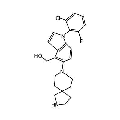 OCc1c(N2CCC3(CCNC3)CC2)ccc2c1ccn2-c1c(F)cccc1Cl